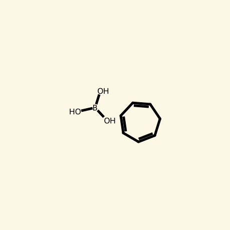 C1=CC=CCC=C1.OB(O)O